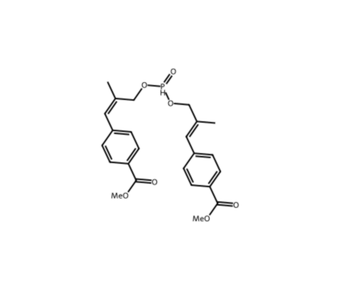 COC(=O)c1ccc(C=C(C)CO[PH](=O)OCC(C)=Cc2ccc(C(=O)OC)cc2)cc1